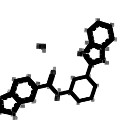 Cl.O=C(NC1CCCC(c2nc3ccccc3[nH]2)C1)c1ccc2[nH]cnc2c1